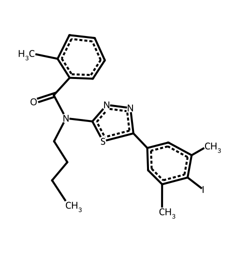 CCCCN(C(=O)c1ccccc1C)c1nnc(-c2cc(C)c(I)c(C)c2)s1